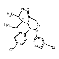 CC(C)[C@H](CO)N1C(=O)CO[C@H](c2cccc(Cl)c2)[C@H]1c1ccc(Cl)cc1